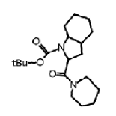 CC(C)(C)OC(=O)N1C(C(=O)N2CCCCC2)CC2CCCCC21